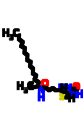 CCCCCCCCCCCCCCCCC(CC)NC(=O)CCCC[C@@H]1SC[C@@H]2NC(=O)N[C@@H]21